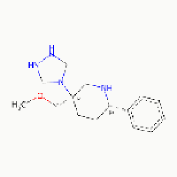 COC[C@@]1(N2CNNC2)CC[C@@H](c2ccccc2)NC1